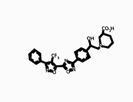 O=C(O)C1CCCN(CC(O)c2ccc(-c3noc(-c4onc(-c5ccccc5)c4C(F)(F)F)n3)cc2)C1